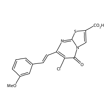 COc1cccc(/C=C/c2nc3sc(C(=O)O)cn3c(=O)c2Cl)c1